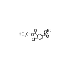 CCO[N+](=O)c1ccc(Cl)c(C(=O)OCC(=O)O)c1